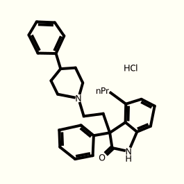 CCCc1cccc2c1C(CCN1CCC(c3ccccc3)CC1)(c1ccccc1)C(=O)N2.Cl